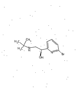 CC(C)(C)NC[C@H](O)c1cccc(Br)n1